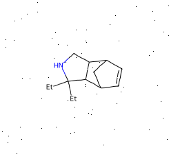 CCC1(CC)NCC2C3C=CC(C3)C21